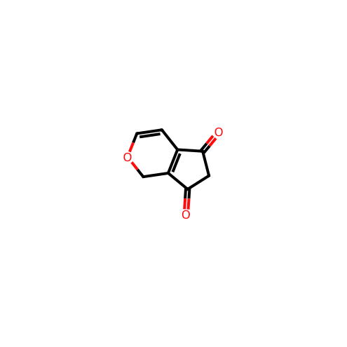 O=C1CC(=O)C2=C1C=COC2